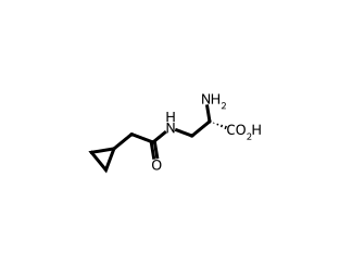 N[C@@H](CNC(=O)CC1CC1)C(=O)O